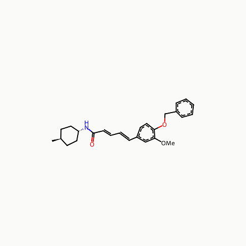 COc1cc(C=CC=CC(=O)N[C@H]2CC[C@H](C)CC2)ccc1OCc1ccccc1